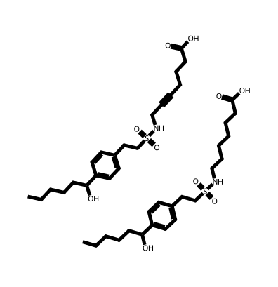 CCCCCC(O)c1ccc(CCS(=O)(=O)NCC#CCCCC(=O)O)cc1.CCCCCC(O)c1ccc(CCS(=O)(=O)NCCCCCCC(=O)O)cc1